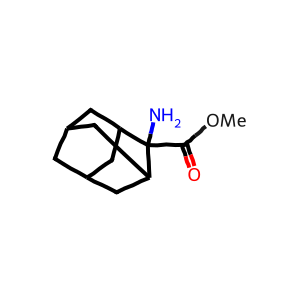 COC(=O)C1(N)C2CC3CC(C2)CC1C3